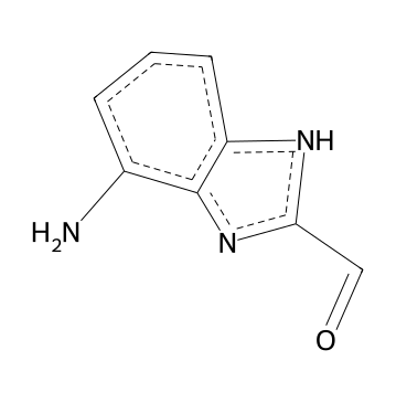 Nc1cccc2[nH]c(C=O)nc12